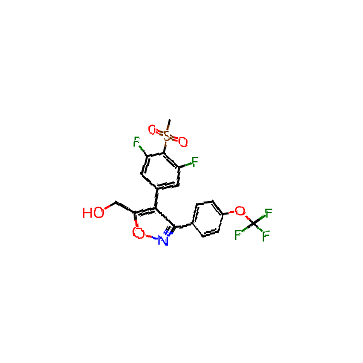 CS(=O)(=O)c1c(F)cc(-c2c(-c3ccc(OC(F)(F)F)cc3)noc2CO)cc1F